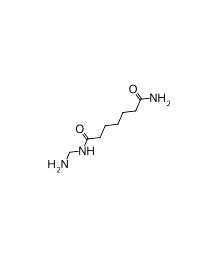 NCNC(=O)CCCCCC(N)=O